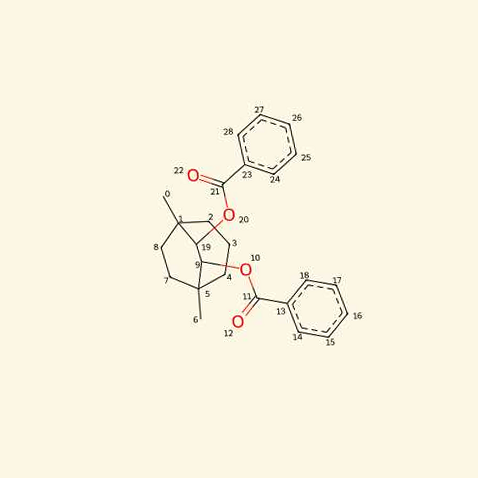 CC12CCCC(C)(CC1)C(OC(=O)c1ccccc1)C2OC(=O)c1ccccc1